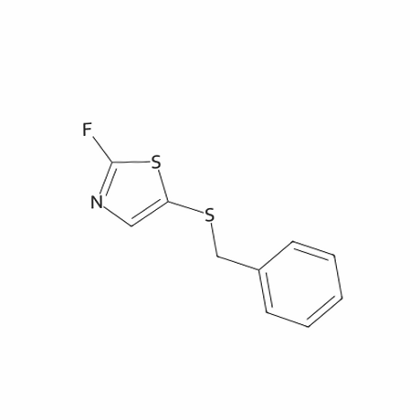 Fc1ncc(SCc2ccccc2)s1